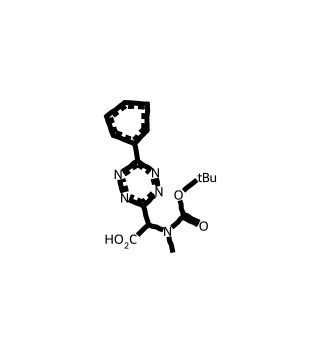 CN(C(=O)OC(C)(C)C)C(C(=O)O)c1nnc(-c2ccccc2)nn1